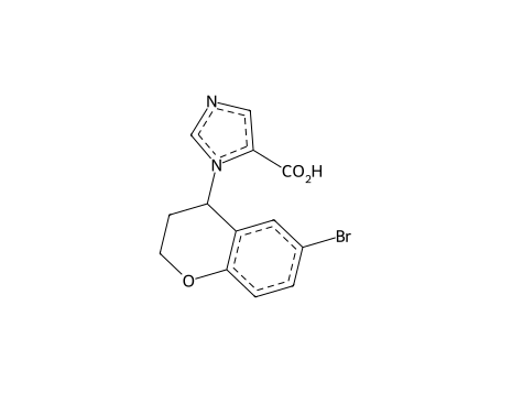 O=C(O)c1cncn1C1CCOc2ccc(Br)cc21